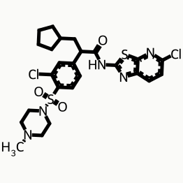 CN1CCN(S(=O)(=O)c2ccc(C(CC3CCCC3)C(=O)Nc3nc4ccc(Cl)nc4s3)cc2Cl)CC1